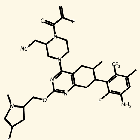 C=C(F)C(=O)N1CCN(c2nc(OCC3CC(F)CN3C)nc3c2CC(C)C(c2c(F)c(N)cc(C)c2C(F)(F)F)C3)CC1CC#N